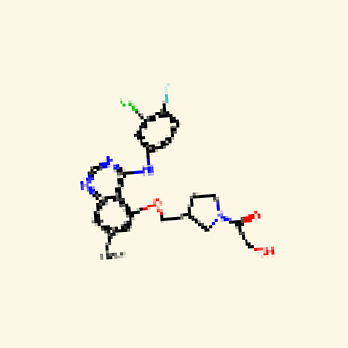 COc1cc(OCC2CCN(C(=O)CO)C2)c2c(Nc3ccc(F)c(Cl)c3)ncnc2c1